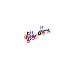 CO[C@H]1[C@H](C2(C)O[C@@H]2CC=C(C)C)[C@]2(CC[C@H]1NC(=O)NC(=O)CSc1ccc(NC(=O)CCCC(C)=O)cc1)CO2